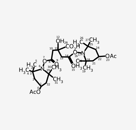 CC(=O)OC1CC(C)(C)N(OC(=O)CC(O)(CC(=O)ON2C(C)(C)CC(OC(C)=O)CC2(C)C)C(=O)O)C(C)(C)C1